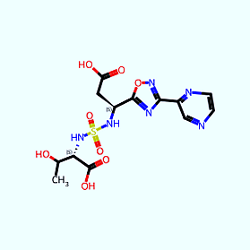 CC(O)[C@H](NS(=O)(=O)N[C@@H](CC(=O)O)c1nc(-c2cnccn2)no1)C(=O)O